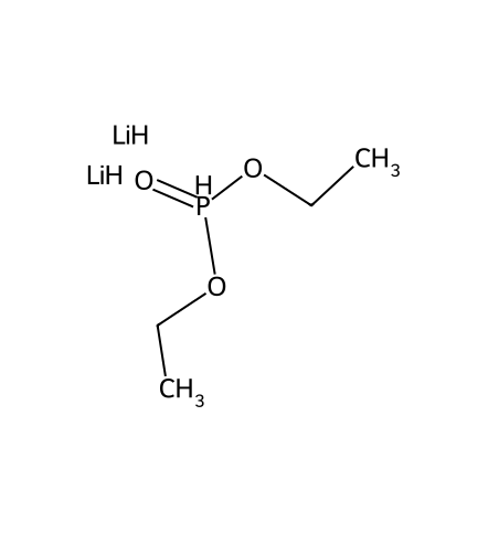 CCO[PH](=O)OCC.[LiH].[LiH]